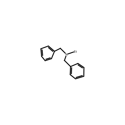 CCN([CH]c1ccccc1)[CH]c1ccccc1